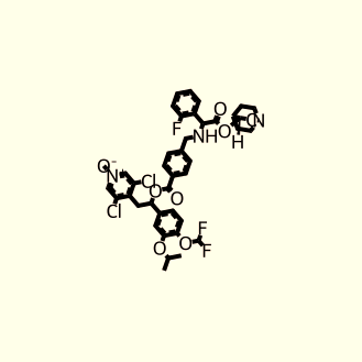 CC(C)Oc1cc(C(Cc2c(Cl)c[n+]([O-])cc2Cl)OC(=O)c2ccc(CNC(C(=O)O[C@H]3CN4CCC3CC4)c3ccccc3F)cc2)ccc1OC(F)F